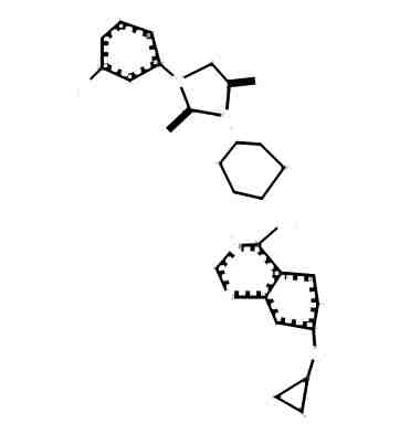 O=C1CN(c2cccc(C(F)(F)F)c2)C(=O)N1[C@H]1CC[C@@H](Oc2ncnc3cc(OC4CC4)ccc23)CC1